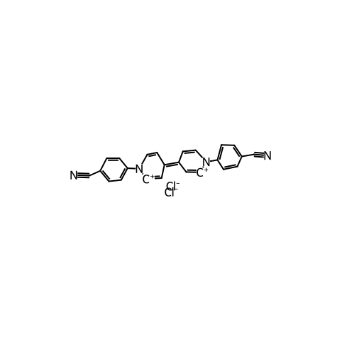 N#Cc1ccc(N2[C+]=CC(=C3C=[C+]N(c4ccc(C#N)cc4)C=C3)C=C2)cc1.[Cl-].[Cl-]